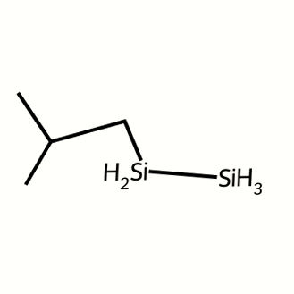 CC(C)C[SiH2][SiH3]